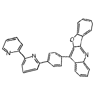 c1ccc(-c2cccc(-c3ccc(-c4c5ccccc5nc5c4oc4ccccc45)cc3)n2)nc1